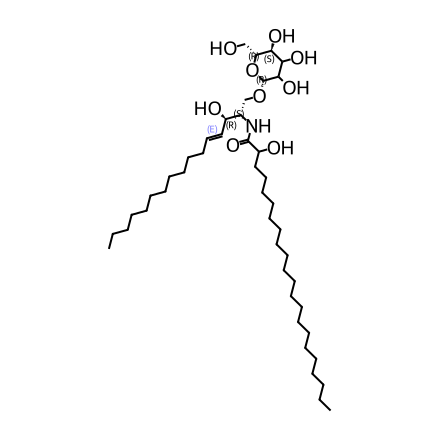 CCCCCCCCCCC/C=C/[C@@H](O)[C@H](CO[C@@H]1O[C@H](CO)[C@@H](O)C(O)C1O)NC(=O)C(O)CCCCCCCCCCCCCCCCCCCC